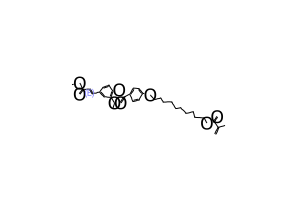 C=C(C)C(=O)OCCCCCCCCCCOc1ccc(C(=O)Oc2ccc(/C=C/C(=O)OC)cc2OC)cc1